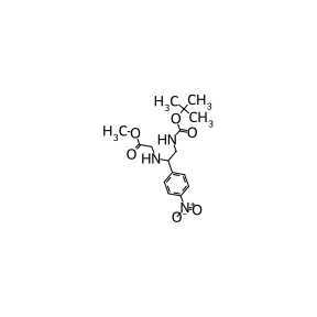 COC(=O)CNC(CNC(=O)OC(C)(C)C)c1ccc([N+](=O)[O-])cc1